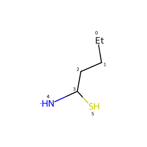 CCCCC([NH])S